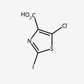 O=C(O)c1nc(I)sc1Cl